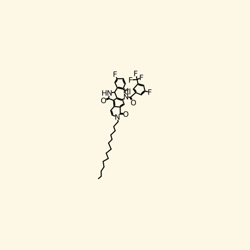 CCCCCCCCCCCCCCn1ccc2c3c(c(NC(=O)c4cc(F)cc(C(F)(F)F)c4)cc2c1=O)C(c1cc(F)ccc1Cl)NC3=O